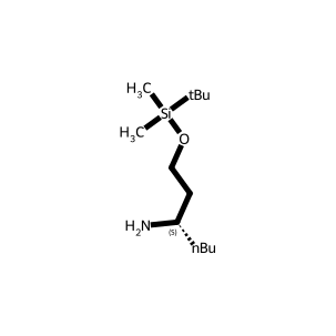 CCCC[C@H](N)CCO[Si](C)(C)C(C)(C)C